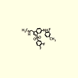 CNCc1cn(S(=O)(=O)c2ccc(F)c(F)c2)c2cc(Nc3ccc(C)cc3F)ccc12